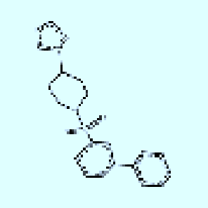 O=S(=O)(c1cccc(-c2ccccc2)n1)N1CCC(c2ccco2)CC1